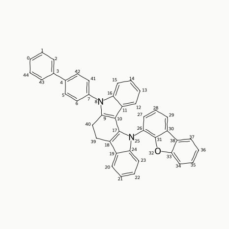 c1ccc(-c2ccc(-n3c4c(c5ccccc53)-c3c(c5ccccc5n3-c3cccc5c3oc3ccccc35)CC4)cc2)cc1